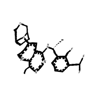 Cc1nnc(N[C@H](C)c2cccc(C(F)F)c2F)c2cc(N3C4CCC3COC4)cnc12